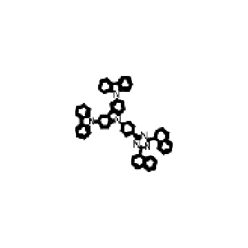 c1ccc2c(-c3nc(-c4ccc(-n5c6ccc(-n7c8ccccc8c8ccccc87)cc6c6cc(-n7c8ccccc8c8ccccc87)ccc65)cc4)nc(-c4cccc5ccccc45)n3)cccc2c1